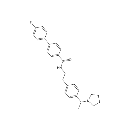 CC(c1ccc(CCNC(=O)c2ccc(-c3ccc(F)cc3)cc2)cc1)N1CCCC1